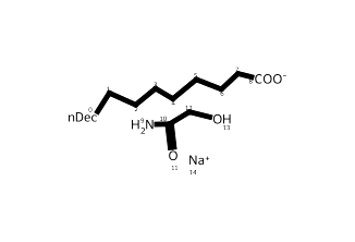 CCCCCCCCCCCCCCCCCC(=O)[O-].NC(=O)CO.[Na+]